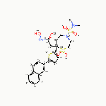 CN(C)S(=O)(=O)N1CCC(CC(=O)NO)(c2ccc(-c3ccc4ccccc4c3)s2)S(=O)(=O)CC1